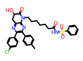 Cc1ccc(-c2nc3c(nc2-c2ccc(Cl)cc2)CC(O)C(=O)N3CCCCCCC(=O)NS(=O)(=O)c2ccccc2)cc1